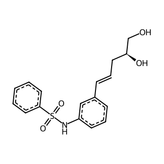 O=S(=O)(Nc1cccc(/C=C/C[C@H](O)CO)c1)c1ccccc1